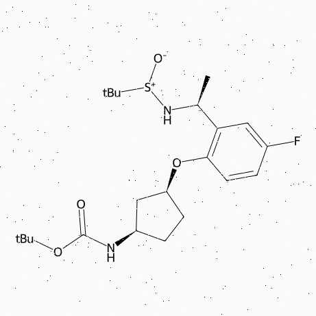 C[C@H](N[S+]([O-])C(C)(C)C)c1cc(F)ccc1O[C@H]1CC[C@@H](NC(=O)OC(C)(C)C)C1